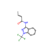 CC=CC(=O)Nc1nn(C(F)(F)F)c2ccccc12